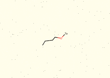 CCCC[O][Ta]